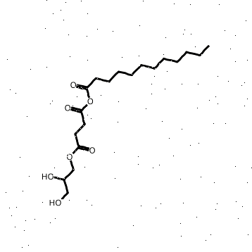 CCCCCCCCCCCC(=O)OC(=O)CCC(=O)OCC(O)CO